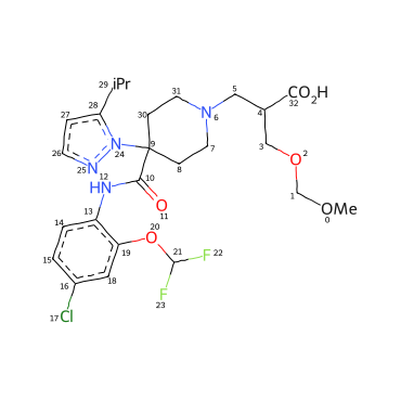 COCOCC(CN1CCC(C(=O)Nc2ccc(Cl)cc2OC(F)F)(n2nccc2C(C)C)CC1)C(=O)O